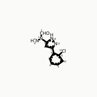 NN(C=O)c1cc(-c2ccccc2Cl)n[nH]1